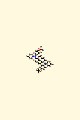 Cc1ccc(N(c2ccc(OC(C)(C)C)cc2)c2ccc3ccc4c(N(c5ccc(C)cc5)c5ccc(OC(C)(C)C)cc5)ccc5ccc2c3c54)cc1